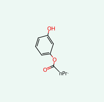 CC[CH]C(=O)Oc1cccc(O)c1